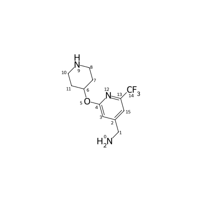 NCc1cc(OC2CCNCC2)nc(C(F)(F)F)c1